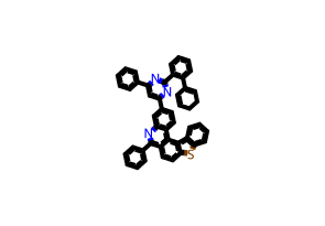 C1=CC(c2ccccc2-c2nc(-c3ccccc3)cc(-c3ccc4c(c3)nc(-c3ccccc3)c3ccc5sc6ccccc6c5c34)n2)=CCC1